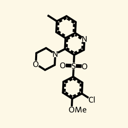 COc1ccc(S(=O)(=O)c2cnc3ccc(C)cc3c2N2CCOCC2)cc1Cl